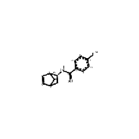 O=C(N[C@H]1CC2C=CC1C2)c1ccc(F)cc1